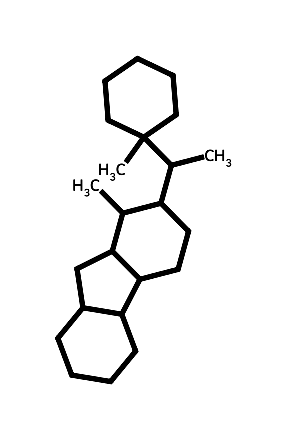 CC1C2CC3CCCCC3C2CCC1C(C)C1(C)CCCCC1